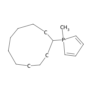 C[P]1(C2CCCCCCCCC2)C=CC=C1